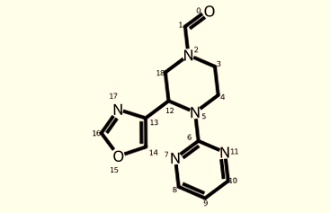 O=CN1CCN(c2ncccn2)C(c2cocn2)C1